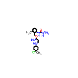 Cc1cccc(NC(=O)NN)c1COC(=N)/C=C\NC1=CCC(C)(Cl)CC1